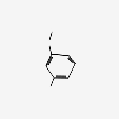 OOc1[c]ccc(O)c1